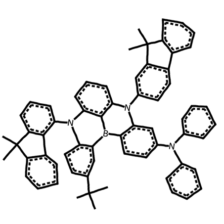 CC(C)(C)c1ccc2c(c1)B1c3ccc(N(c4ccccc4)c4ccccc4)cc3N(c3ccc4c(c3)C(C)(C)c3ccccc3-4)c3cccc(c31)N2c1cccc2c1-c1ccccc1C2(C)C